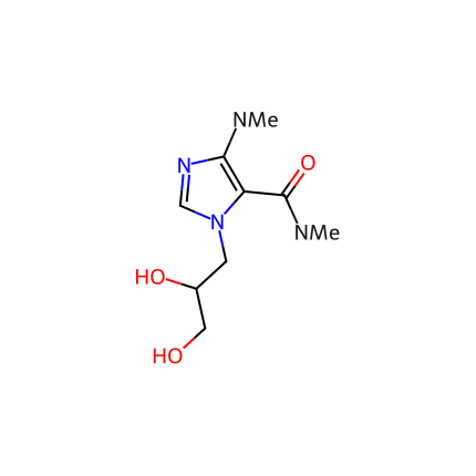 CNC(=O)c1c(NC)ncn1CC(O)CO